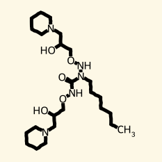 CCCCCCCN(NOCC(O)CN1CCCCC1)C(=O)NOCC(O)CN1CCCCC1